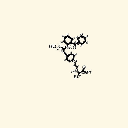 CCC(NCCOc1ccc(CC(Nc2ccccc2C(=O)c2ccccc2)C(=O)O)cc1)C(=O)C(C)C